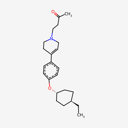 CC[C@H]1CC[C@H](Oc2ccc(C3=CCN(CCC(C)=O)CC3)cc2)CC1